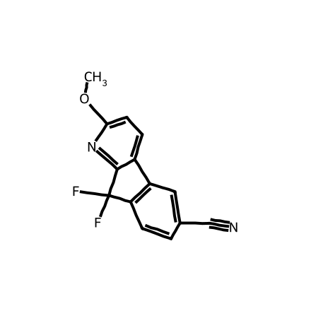 COc1ccc2c(n1)C(F)(F)c1ccc(C#N)cc1-2